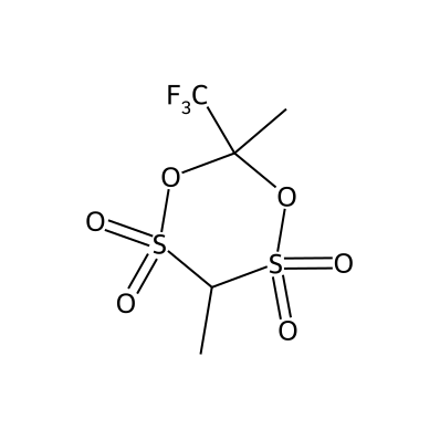 CC1S(=O)(=O)OC(C)(C(F)(F)F)OS1(=O)=O